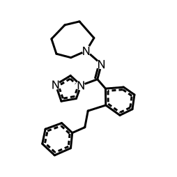 c1ccc(CCc2ccccc2C(=NN2CCCCCC2)n2ccnc2)cc1